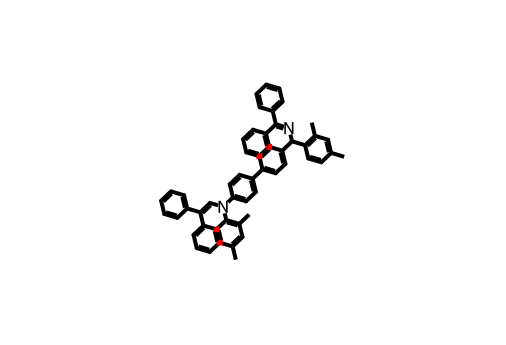 Cc1ccc(C(N=C(c2ccccc2)c2ccccc2)c2ccc(-c3ccc(N(C=C(c4ccccc4)c4ccccc4)c4ccc(C)cc4C)cc3)cc2)c(C)c1